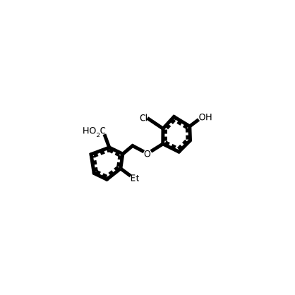 CCc1cccc(C(=O)O)c1COc1ccc(O)cc1Cl